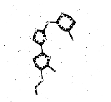 CCOc1ccc(-c2csc(Nc3cc(C)ccn3)n2)nc1C